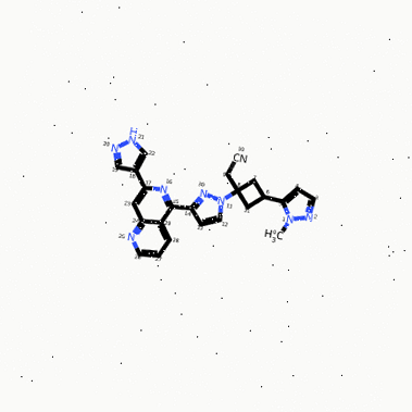 Cn1nccc1C1CC(CC#N)(n2ccc(-c3nc(-c4cn[nH]c4)cc4ncccc34)n2)C1